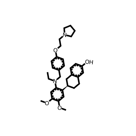 CCN(Cc1ccc(OCCN2CCCC2)cc1)c1cc(OC)c(OC)cc1[C@@H]1CCc2cc(O)ccc2C1